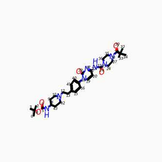 CC(C)(C)OC(=O)NC1CCN(CCc2ccc(-n3ccc(NC(=O)N4CCN(C(=O)C(C)(C)C)CC4)nc3=O)cc2)CC1